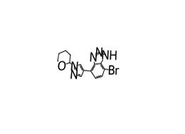 Brc1ccc(-c2cnn(C3CCCCO3)c2)c2nn[nH]c12